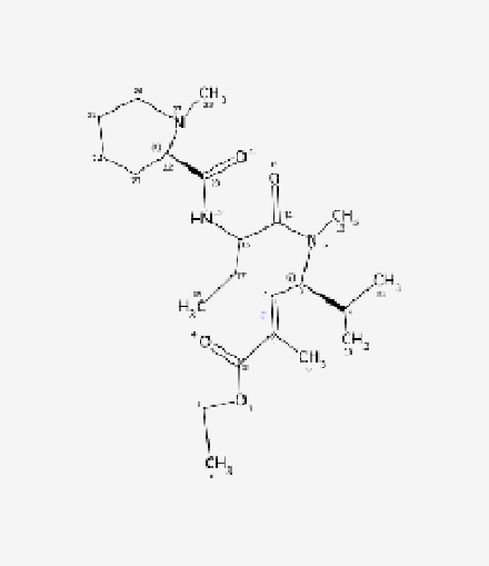 CCOC(=O)/C(C)=C/[C@H](C(C)C)N(C)C(=O)C(CC)NC(=O)[C@H]1CCCCN1C